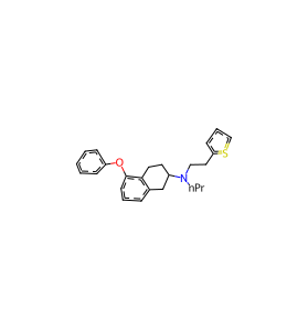 CCCN(CCc1cccs1)C1CCc2c(cccc2Oc2ccccc2)C1